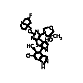 C#Cc1c(Cl)cc2[nH]ncc2c1-c1nccc2c1sc1nc(OC[C@@]34CCCN3C[C@H](F)C4)nc(N3CCOC[C@@](C)(O)C3)c12